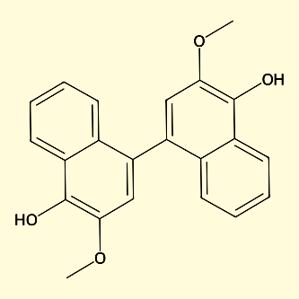 COc1cc(-c2cc(OC)c(O)c3ccccc23)c2ccccc2c1O